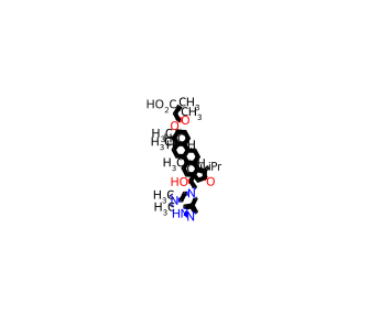 CC(C)C1=C2[C@H]3CC[C@@H]4[C@@]5(C)CC[C@H](OC(=O)CC(C)(C)C(=O)O)C(C)(C)[C@@H]5CC[C@@]4(C)[C@]3(C)CCC2(C(O)CN(CCN(C)C)Cc2cn[nH]c2)CC1=O